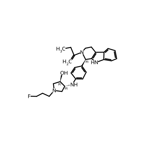 C=C(CC)N1CCc2c([nH]c3ccccc23)[C@H]1c1ccc(N[C@@H]2CN(CCCF)C[C@H]2O)cc1